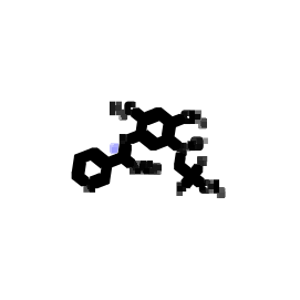 CN/C(=N\c1cc([S+]([O-])CC(C)(F)F)c(C)cc1C)c1cccnc1